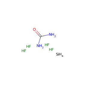 F.F.F.F.NC(N)=O.[SiH4]